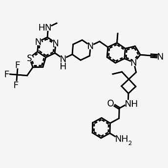 CCC1(Cn2c(C#N)cc3c(C)c(CN4CCC(Nc5nc(NC)nc6sc(CC(F)(F)F)cc56)CC4)ccc32)CC(NC(=O)Cc2ccccc2N)C1